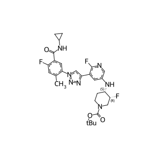 Cc1cc(F)c(C(=O)NC2CC2)cc1-n1cc(-c2cc(N[C@H]3CCN(C(=O)OC(C)(C)C)C[C@H]3F)cnc2F)nn1